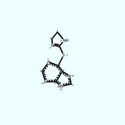 c1nc(SC2=NCCN2)c2nc[nH]c2n1